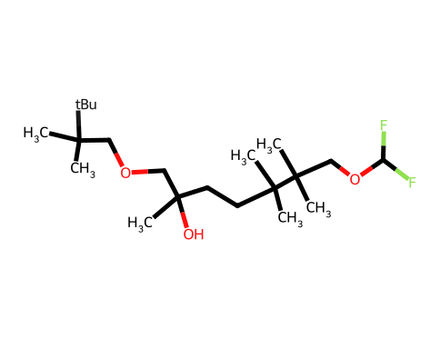 CC(O)(CCC(C)(C)C(C)(C)COC(F)F)COCC(C)(C)C(C)(C)C